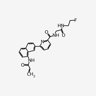 C=CC(=O)Nc1cccc2ccc(-c3cccc(C(=O)NCC(=O)NCCF)n3)cc12